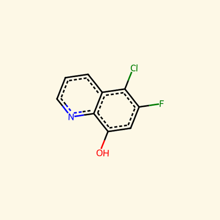 Oc1cc(F)c(Cl)c2cccnc12